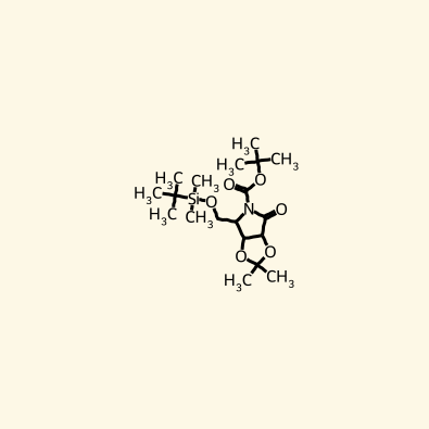 CC(C)(C)OC(=O)N1C(=O)C2OC(C)(C)OC2C1CO[Si](C)(C)C(C)(C)C